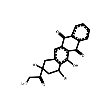 CC(=O)OCC(=O)C1(O)Cc2cc3c(c(O)c2C(Br)C1)C(=O)c1ccccc1C3=O